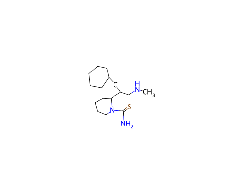 CNCC(CC1CCCCC1)C1CCCCN1C(N)=S